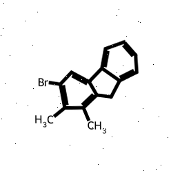 Cc1c(Br)cc2c(c1C)Cc1ccccc1-2